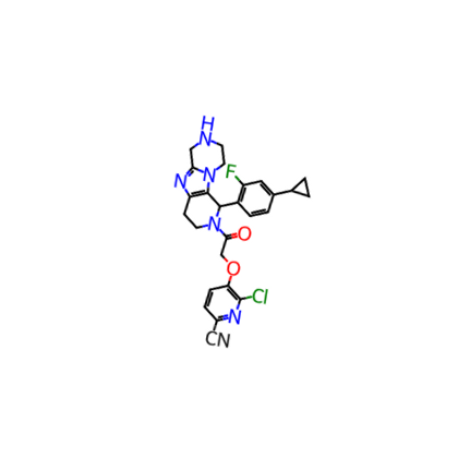 N#Cc1ccc(OCC(=O)N2CCc3nc4n(c3C2c2ccc(C3CC3)cc2F)CCNC4)c(Cl)n1